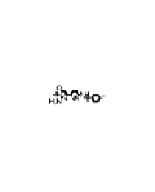 CC(C)(CNc1ccc(-c2cc(=O)[nH]c(N)n2)nn1)c1ccc(F)cc1